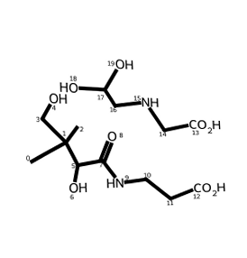 CC(C)(CO)C(O)C(=O)NCCC(=O)O.O=C(O)CNCC(O)O